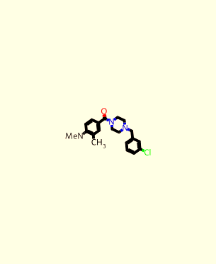 CNc1ccc(C(=O)N2CCN(Cc3cccc(Cl)c3)CC2)cc1C